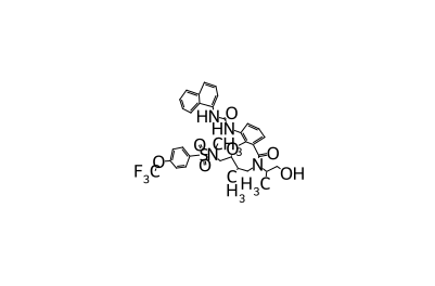 CC1CN(C(C)CO)C(=O)c2cccc(NC(=O)Nc3cccc4ccccc34)c2OC1CN(C)S(=O)(=O)c1ccc(OC(F)(F)F)cc1